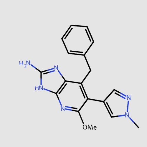 COc1nc2[nH]c(N)nc2c(Cc2ccccc2)c1-c1cnn(C)c1